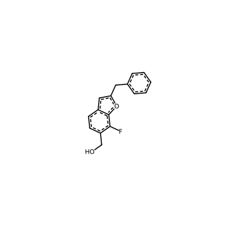 OCc1ccc2cc(Cc3ccccc3)oc2c1F